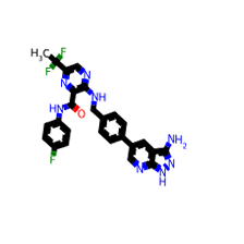 CC(F)(F)c1cnc(NCc2ccc(-c3cnc4[nH]nc(N)c4c3)cc2)c(C(=O)Nc2ccc(F)cc2)n1